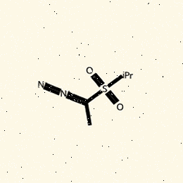 CC(=[N+]=[N-])S(=O)(=O)C(C)C